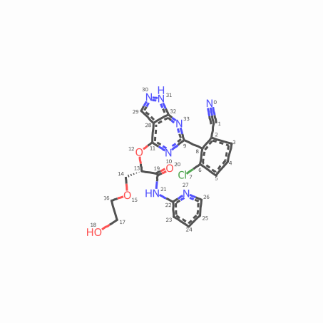 N#Cc1cccc(Cl)c1-c1nc(O[C@@H](COCCO)C(=O)Nc2ccccn2)c2cn[nH]c2n1